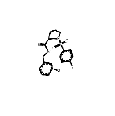 O=C(NCc1cccc(Cl)c1)C1CCCN1S(=O)(=O)c1ccc(F)cc1